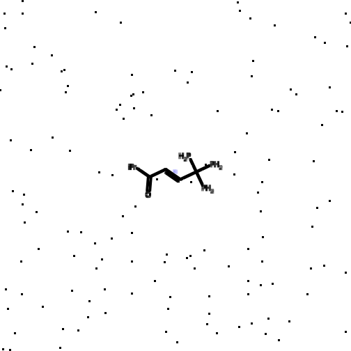 CC(C)C(=O)/C=C/C(P)(P)P